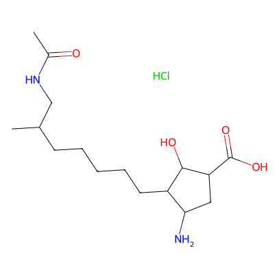 CC(=O)NCC(C)CCCCCC1C(N)CC(C(=O)O)C1O.Cl